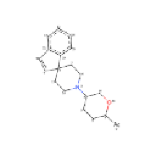 CC(=O)C1CCC(N2CCC3(C=Cc4ccccc43)CC2)CO1